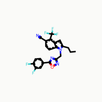 CCCc1cc2c(C(F)(F)F)c(C#N)ccc2n1Cc1noc(-c2ccc(F)c(F)c2)n1